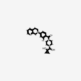 O=C(c1ccc(N2CCc3cccnc3C2)cc1F)N1CCN(C(O)C2(O)CC2)CC1